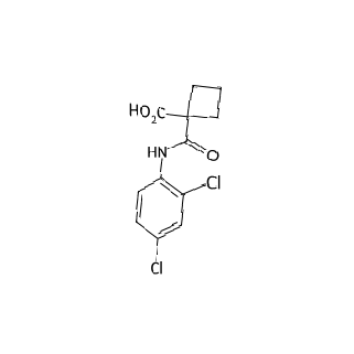 O=C(O)C1(C(=O)Nc2ccc(Cl)cc2Cl)CCC1